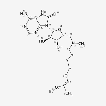 CCO/C(C)=N\OCCCCN(C)C[C@H]1O[C@@H](n2c(=O)[nH]c3c(N)ncnc32)[C@H](O)[C@@H]1O